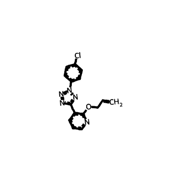 C=CCOc1ncccc1-c1nnn(-c2ccc(Cl)cc2)n1